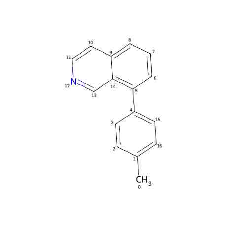 Cc1ccc(-c2cccc3ccncc23)cc1